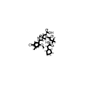 COc1cc(C)c(Cl)cc1C1=NO[C@]2(C1)C[C@@H](C(=O)O)N(C(=O)[C@@H](NC(=O)CC1CCCCC1)C(C)(C)C)C2